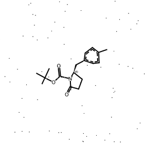 Cc1ccc(C[C@H]2CCC(=O)N2C(=O)OC(C)(C)C)cc1